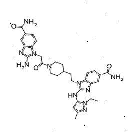 CCn1nc(C)cc1Nc1nc2cc(C(N)=O)ccc2n1CCC1CCN(C(=O)Cn2c(N)nc3cc(C(N)=O)ccc32)CC1